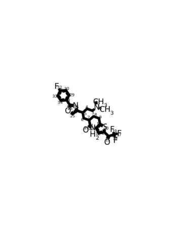 CN(C)CCC(CC(CCc1ccc(C(=O)C(F)(F)F)s1)C(N)=O)c1coc(-c2ccc(F)cc2)n1